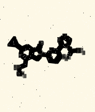 CNCc1nc(C2CC2)cc2c1CN(c1cccc(-c3nncn3C(C)C)n1)C2=O